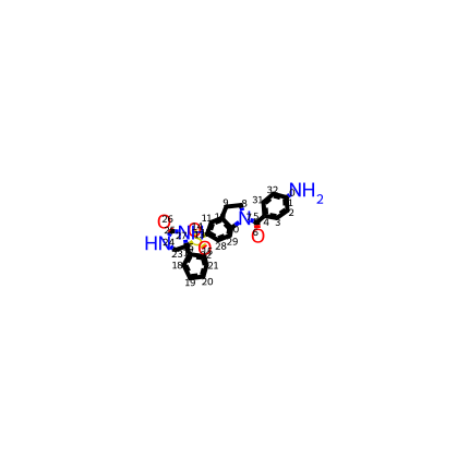 Nc1ccc(C(=O)N2CCc3cc(S(=O)(=O)C4(c5ccccc5)CNC(=O)N4)ccc32)cc1